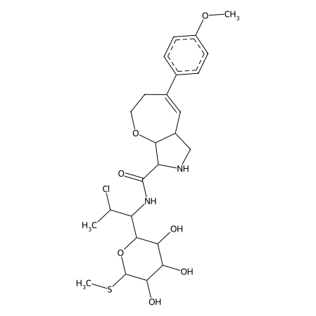 COc1ccc(C2=CC3CNC(C(=O)NC(C(C)Cl)C4OC(SC)C(O)C(O)C4O)C3OCC2)cc1